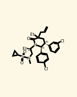 C=CCC1(CC)C[C@H](c2cccc(Cl)c2)[C@@H](c2ccc(Cl)cc2)N([C@H](CC)CN(C)S(=O)(=O)C2CC2)C1=O